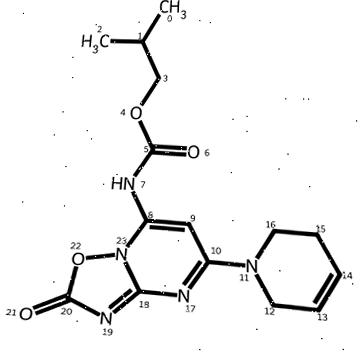 CC(C)COC(=O)Nc1cc(N2CC=CCC2)nc2nc(=O)on12